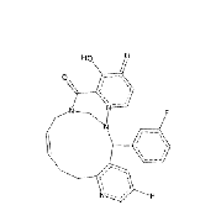 O=C1c2c(O)c(=O)ccn2N2CN1C/C=C\CCc1ncc(F)cc1[C@H]2c1cccc(F)c1